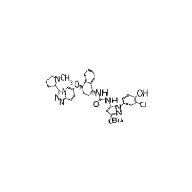 CN1CCCC1c1nnc2ccc(O[C@@H]3CC[C@H](NC(=O)Nc4cc(C(C)(C)C)nn4-c4ccc(O)c(Cl)c4)c4ccccc43)cn12